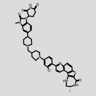 C[C@@H]1CNc2c(sc3ccc4nc(-c5ccc(N6CCC(CN7CCC(c8ccc9c(c8)n(C)c(=O)n9C8CCC(=O)NC8=O)CC7)CC6)cc5Cl)ccc4c23)C(=O)N1